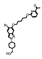 CC(=O)c1cccc(OCCCCCOc2cc3nn([C@H]4CC[C@H](CO)CC4)cc3cc2Br)n1